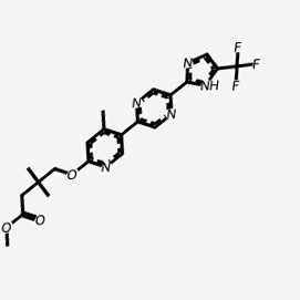 COC(=O)CC(C)(C)COc1cc(C)c(-c2cnc(-c3ncc(C(F)(F)F)[nH]3)cn2)cn1